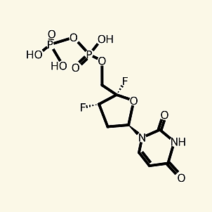 O=c1ccn([C@H]2C[C@H](F)[C@@](F)(COP(=O)(O)OP(=O)(O)O)O2)c(=O)[nH]1